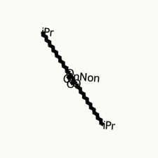 CCCCCCCCCC(C(=O)OCCCCCCCCCCCCCCCC(C)C)C(=O)OCCCCCCCCCCCCCCCC(C)C